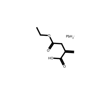 C=C(CC(=O)OCC)C(=O)O.[PbH2]